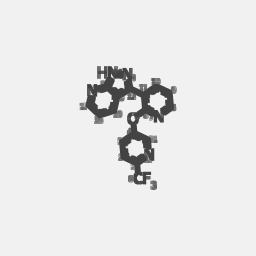 FC(F)(F)c1ccc(Oc2ncccc2-c2n[nH]c3ncccc23)cn1